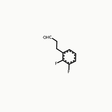 O=[C]CCc1cccc(F)c1F